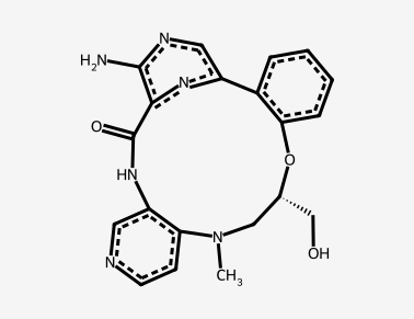 CN1C[C@@H](CO)Oc2ccccc2-c2cnc(N)c(n2)C(=O)Nc2cnccc21